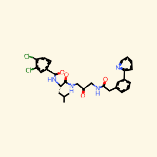 CC(C)C[C@H](NC(=O)c1ccc(Cl)c(Cl)c1)C(=O)NCC(=O)CNC(=O)Cc1cccc(-c2ccccn2)c1